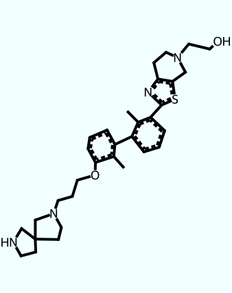 Cc1c(OCCCN2CCC3(CCNC3)C2)cccc1-c1cccc(-c2nc3c(s2)CN(CCO)CC3)c1C